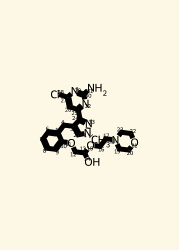 Cn1cc(Cc2ccccc2OCC(O)OCCN2CCOCC2)c(-c2cc(Cl)nc(N)n2)n1